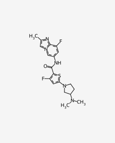 Cc1cn2cc(NC(=O)c3sc(N4CCC(N(C)C)C4)cc3F)cc(F)c2n1